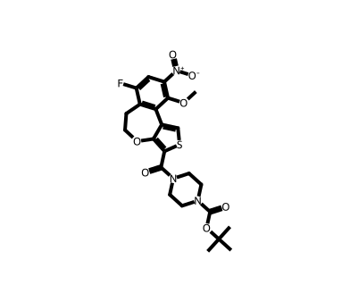 COc1c([N+](=O)[O-])cc(F)c2c1-c1csc(C(=O)N3CCN(C(=O)OC(C)(C)C)CC3)c1OCC2